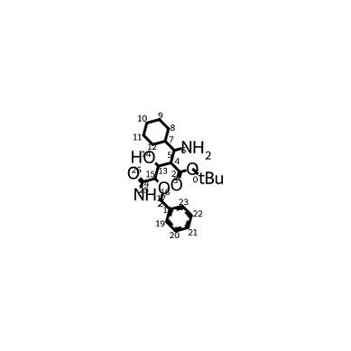 CC(C)(C)OC(=O)C(C(N)C1CCCCC1)C(O)C(OCc1ccccc1)C(N)=O